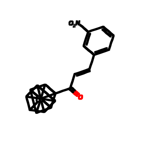 O=C(C=Cc1cccc([N+](=O)[O-])c1)[C]12[CH]3[CH]4[CH]5[CH]1[Fe]45321678[CH]2[CH]1[CH]6[CH]7[CH]28